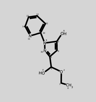 CCOC(O)c1cc(O)n(-c2ccccn2)n1